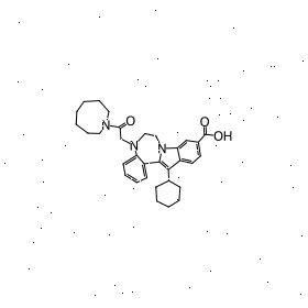 O=C(O)c1ccc2c(C3CCCCC3)c3n(c2c1)CCN(CC(=O)N1CCCCCCC1)c1ccccc1-3